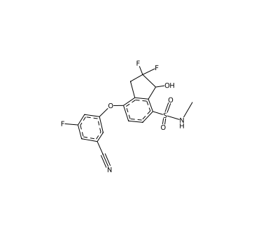 CNS(=O)(=O)c1ccc(Oc2cc(F)cc(C#N)c2)c2c1C(O)C(F)(F)C2